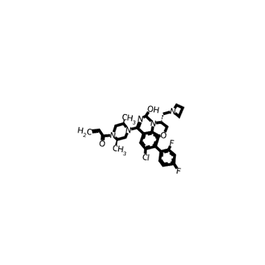 C=CC(=O)N1C[C@H](C)N(C2=NC(O)N3c4c2cc(Cl)c(-c2ccc(F)cc2F)c4OC[C@H]3CN2CCC2)C[C@H]1C